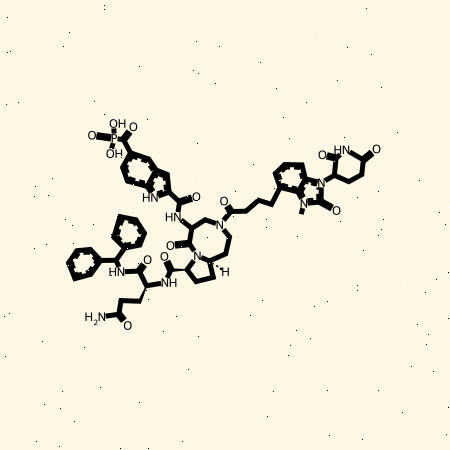 Cn1c(=O)n(C2CCC(=O)NC2=O)c2cccc(CCCC(=O)N3CC[C@H]4CC[C@@H](C(=O)N[C@@H](CCC(N)=O)C(=O)NC(c5ccccc5)c5ccccc5)N4C(=O)C(NC(=O)c4cc5cc(C(=O)P(=O)(O)O)ccc5[nH]4)C3)c21